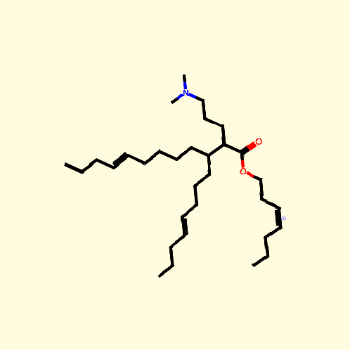 CCCC=CCCCCC(CCCC=CCCC)C(CCCN(C)C)C(=O)OCC/C=C\CCC